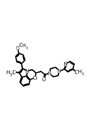 COc1ccc(-c2c(C)c3cccc4c3n2CC(CC(=O)N2CCN(c3cc(C)ccn3)CC2)O4)cc1